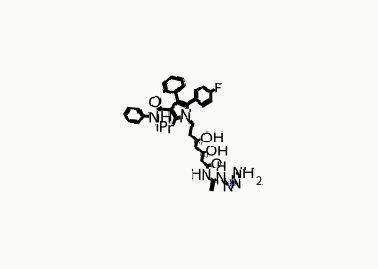 C=C(N/N=N\N)NC(=O)C[C@H](O)C[C@H](O)CCn1c(-c2ccc(F)cc2)c(-c2ccccc2)c(C(=O)Nc2ccccc2)c1C(C)C